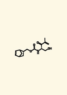 C=C(C)C(=O)C(CO)NC(=O)OCC1CC2C=CC1C2